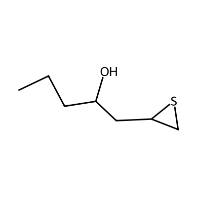 CCCC(O)CC1CS1